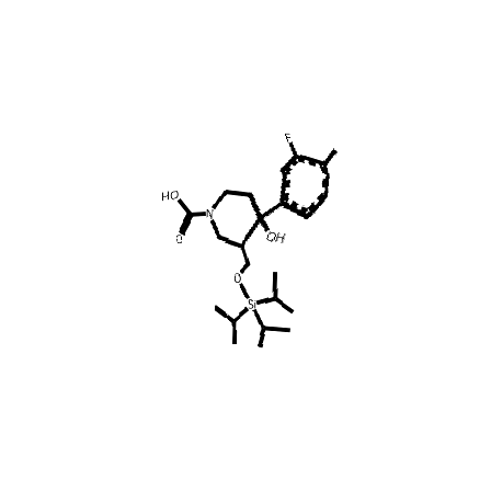 Cc1ccc(C2(O)CCN(C(=O)O)CC2CO[Si](C(C)C)(C(C)C)C(C)C)cc1F